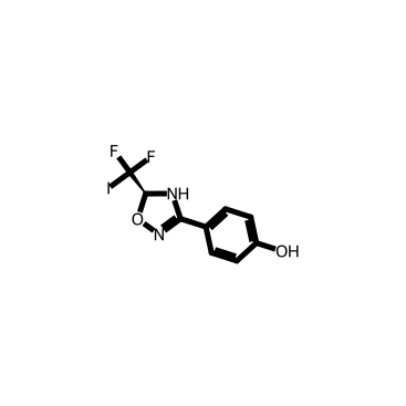 Oc1ccc(C2=NO[C@@H](C(F)(F)I)N2)cc1